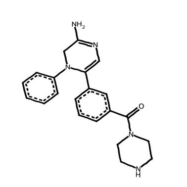 NC1=NC=C(c2cccc(C(=O)N3CCNCC3)c2)N(c2ccccc2)C1